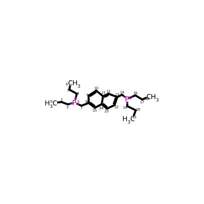 CCCP(CCC)Cc1ccc2cc(CP(CCC)CCC)ccc2c1